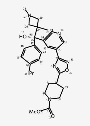 COC(=O)N1CCC(c2nc(-c3cncc([C@@](O)(c4ccc(C(C)C)cc4)C4(C)CN(C)C4)c3)no2)CC1